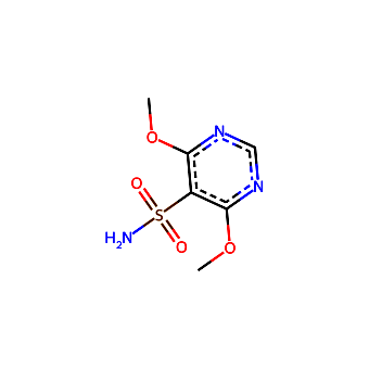 COc1ncnc(OC)c1S(N)(=O)=O